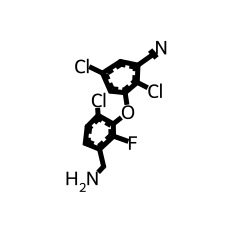 N#Cc1cc(Cl)cc(Oc2c(Cl)ccc(CN)c2F)c1Cl